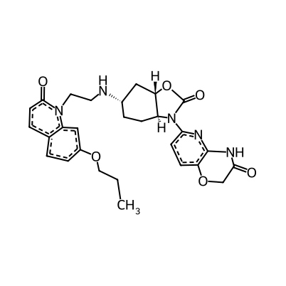 CCCOc1ccc2ccc(=O)n(CCN[C@H]3CC[C@H]4[C@H](C3)OC(=O)N4c3ccc4c(n3)NC(=O)CO4)c2c1